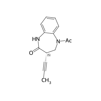 CC#C[C@H]1CN(C(C)=O)c2ccccc2NC1=O